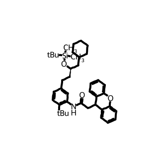 CC(C)(C)c1ccc(CC[C@H](CC2CCCCC2)O[Si](C)(C)C(C)(C)C)cc1NC(=O)CC1c2ccccc2Oc2ccccc21